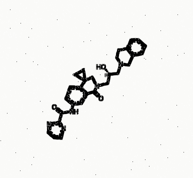 O=C(Nc1ccc2c(c1)C(=O)N(C[C@H](O)CN1CCc3ccccc3C1)CC21CC1)c1ncccn1